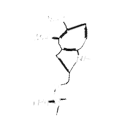 COc1ccc2[nH]c(CO[Si](C)(C)C(C)(C)C)cc2c1OC